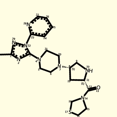 Cc1nc(N2CCN([C@@H]3CN[C@H](C(=O)N4CCSC4)C3)CC2)n(-c2ccccn2)n1